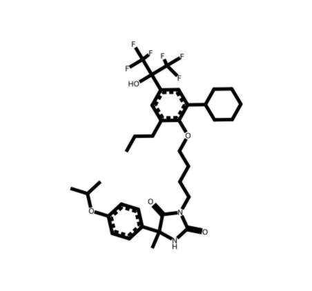 CCCc1cc(C(O)(C(F)(F)F)C(F)(F)F)cc(C2CCCCC2)c1OCCCCN1C(=O)NC(C)(c2ccc(OC(C)C)cc2)C1=O